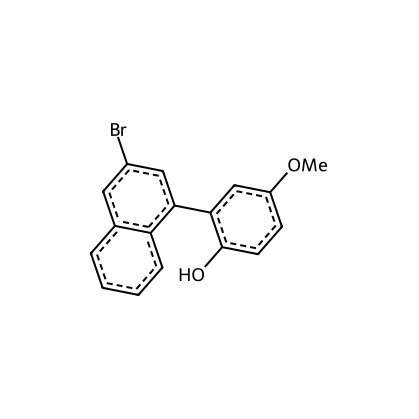 COc1ccc(O)c(-c2cc(Br)cc3ccccc23)c1